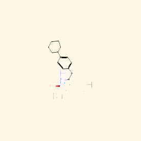 CC(C)(C)OC(=O)NC(Cc1ccc(C2CCCCC2)cc1)C(=O)O